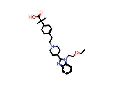 CCOCCn1c(C2CCN(CCC3=CC=C(C(C)(C)C(=O)O)CC3)CC2)nc2ccccc21